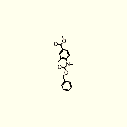 COC(=O)c1ccc(N(C)C(=O)OCc2ccccc2)c(C)c1